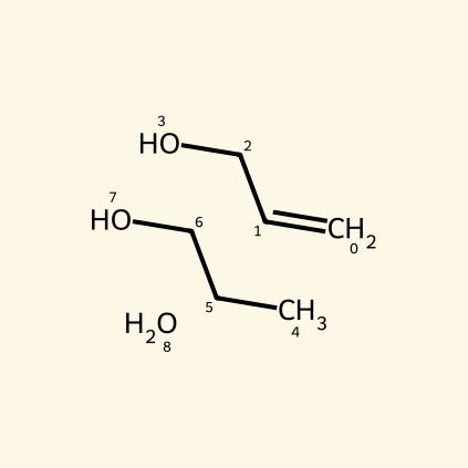 C=CCO.CCCO.O